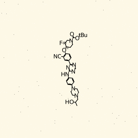 CC(O)CN1CCN(c2ccc(Nc3ncnc(-c4ccc(O[C@H]5CCN(C(=O)OC(C)(C)C)C[C@H]5F)c(C#N)c4)n3)cc2)CC1